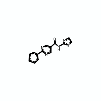 O=C(Nc1nccs1)c1cnc(-c2ccccc2)nc1